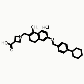 CC1=C(CN2CC(C(=O)O)C2)CCc2cc(OCc3ccc(C4CCCCC4)cc3)ccc21.Cl